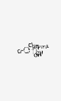 CCCC(C)C(O)C(CO)(CBr)c1ccc(Cl)cc1Cl